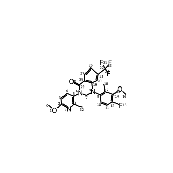 COc1ccc(N2CN(c3ccc(F)c(OC)c3C)c3cc(C(F)(F)F)ccc3C2=O)c(C)n1